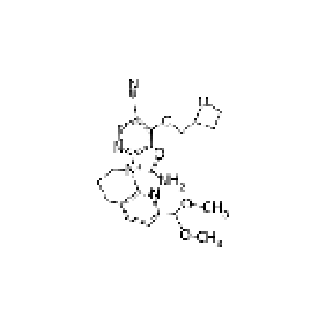 COC(OC)c1ccc2c(n1)[N+](C(N)=O)(c1cc(OCC3CCO3)c(C#N)cn1)CCC2